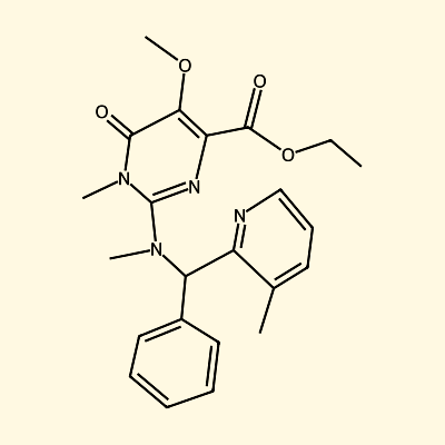 CCOC(=O)c1nc(N(C)C(c2ccccc2)c2ncccc2C)n(C)c(=O)c1OC